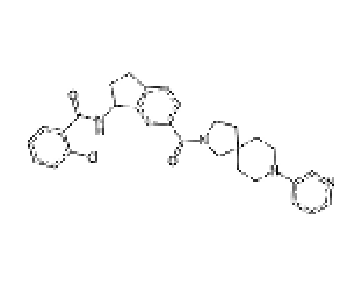 O=C(NC1CCc2ccc(C(=O)N3CCC4(CCN(c5cccnc5)CC4)C3)cc21)c1ccccc1Cl